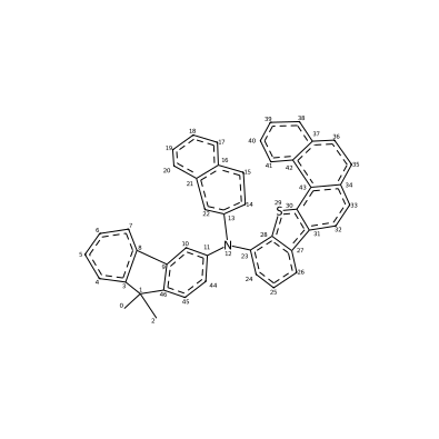 CC1(C)c2ccccc2-c2cc(N(c3ccc4ccccc4c3)c3cccc4c3sc3c4ccc4ccc5ccccc5c43)ccc21